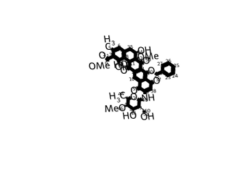 COC(=O)c1c(C)cc2c(c1O)[C@]1(O)C(=O)c3cc4c(c(OCc5ccccc5)c3C(=O)[C@]1(OC)[C@H](O)C2)C(=O)C=C(NC1O[C@@H](C)[C@H](OC)[C@@H](O)[C@H]1CO)C4=O